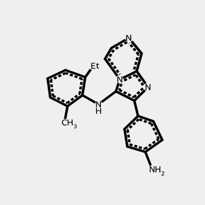 CCc1cccc(C)c1Nc1c(-c2ccc(N)cc2)nc2cnccn12